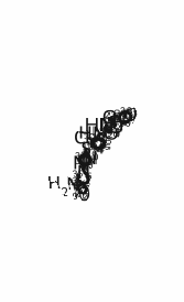 C[C@@H]1OCC2(CCN(c3cnc(Sc4cccc(NC(=O)NS(=O)(=O)N5CCOCC5)c4Cl)cn3)CC2)[C@@H]1N